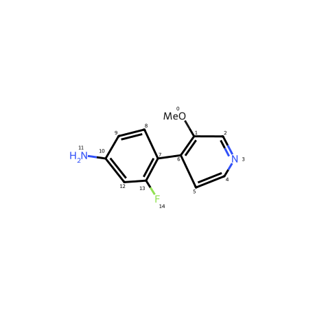 COc1cnccc1-c1ccc(N)cc1F